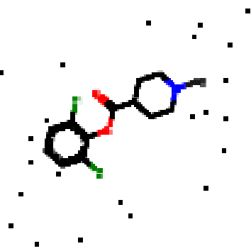 CC(=O)N1CCC(C(=O)Oc2c(Cl)cccc2Cl)CC1